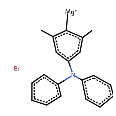 Cc1cc(N(c2ccccc2)c2ccccc2)cc(C)[c]1[Mg+].[Br-]